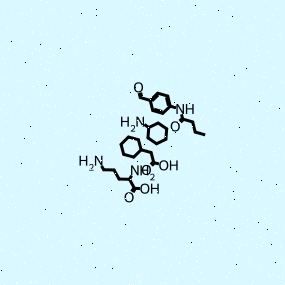 CCCC(=O)Nc1ccc(C=O)cc1.NC1CCCCC1.NCCCC(N)C(=O)O.O=C(O)CC1CCCCC1